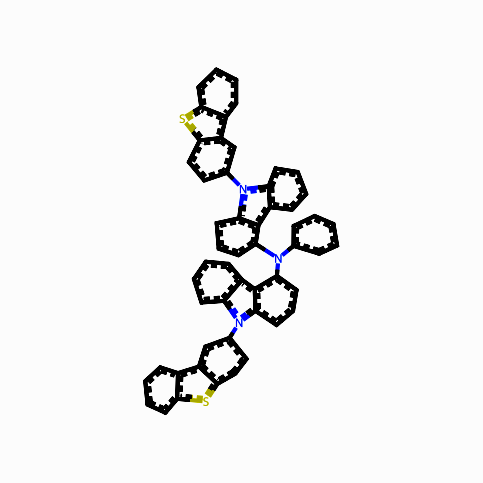 c1ccc(N(c2cccc3c2c2ccccc2n3-c2ccc3sc4ccccc4c3c2)c2cccc3c2c2ccccc2n3-c2ccc3sc4ccccc4c3c2)cc1